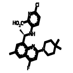 Cc1cc([C@H](C)Nc2ccc(Cl)nc2C(=O)O)c2nc(N3CCC(C)(C)CC3)cc(F)c2c1